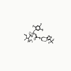 CCC(C)C(N)C(=O)NC(CC(=O)N1CCn2c(nnc2C(C)(F)F)C1)Cc1cc(F)c(F)cc1F